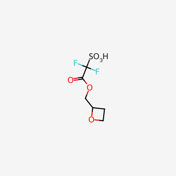 O=C(OCC1CCO1)C(F)(F)S(=O)(=O)O